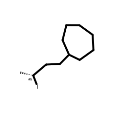 C[C@@H](I)CCC1CCCCCC1